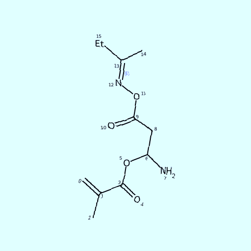 C=C(C)C(=O)OC(N)CC(=O)O/N=C(\C)CC